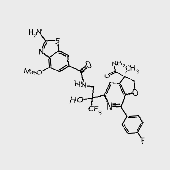 COc1cc(C(=O)NCC(O)(c2cc3c(c(-c4ccc(F)cc4)n2)OC[C@]3(C)C(N)=O)C(F)(F)F)cc2sc(N)nc12